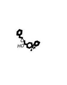 CN(C)C1(c2ccccc2)CCC(C(O)COCCc2ccccc2)CC1